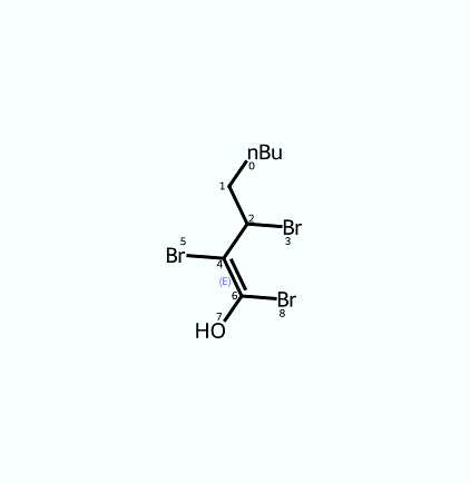 CCCCCC(Br)/C(Br)=C(/O)Br